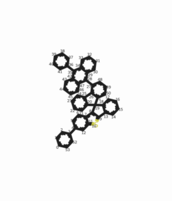 c1ccc(-c2ccc3c4c(sc3c2)-c2ccccc2C42c3ccccc3-c3c(-c4c5ccccc5c(-c5ccccc5)c5ccccc45)cccc32)cc1